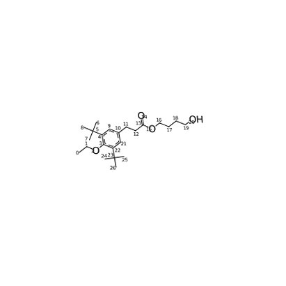 CCOc1c(C(C)(C)C)cc(CCC(=O)OCCCCO)cc1C(C)(C)C